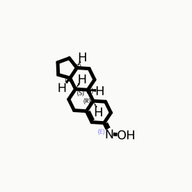 O/N=C1/C=C2CC[C@H]3[C@@H]4CCC[C@H]4CC[C@@H]3[C@H]2CC1